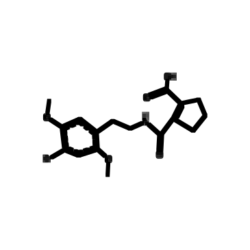 COc1cc(CCNC(=O)C2=C(C(=O)O)CCC2)c(OC)cc1Br